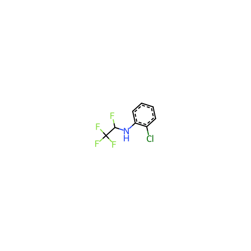 FC(Nc1ccccc1Cl)C(F)(F)F